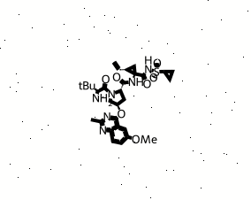 C=C[C@@H]1C[C@]1(NC(=O)[C@@H]1C[C@@H](Oc2nc(C)nc3ccc(OC)cc23)CN1C(=O)[C@@H](N)C(C)(C)C)C(=O)NS(=O)(=O)C1CC1